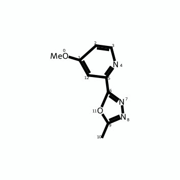 COc1ccnc(-c2nnc(C)o2)c1